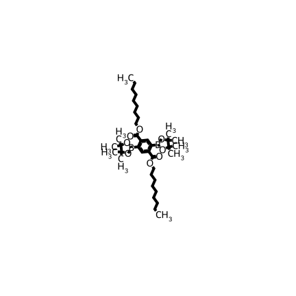 CCCCCCCCCOC(=O)c1cc(B2OC(C)(C)C(C)(C)O2)c(C(=O)OCCCCCCCCC)cc1B1OC(C)(C)C(C)(C)O1